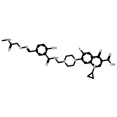 CNC(=O)CO/N=C/c1ccc(O)c(C(=O)NCN2CCN(c3cc4c(cc3F)c(=O)c(C(=O)O)cn4C3CC3)CC2)c1